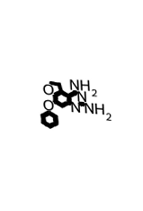 Nc1nc(N)c2c3c(c(Oc4ccccc4)cc2n1)OCC3